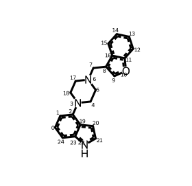 c1cc(N2CCN(Cc3coc4ccccc34)CC2)c2cc[nH]c2c1